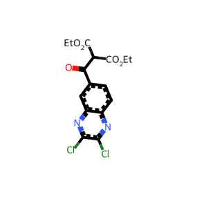 CCOC(=O)C(C(=O)OCC)C(=O)c1ccc2nc(Cl)c(Cl)nc2c1